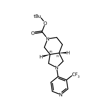 CC(C)(C)OC(=O)N1CC[C@@H]2CN(c3ccncc3C(F)(F)F)C[C@@H]2C1